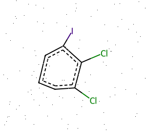 Clc1cccc(I)c1Cl